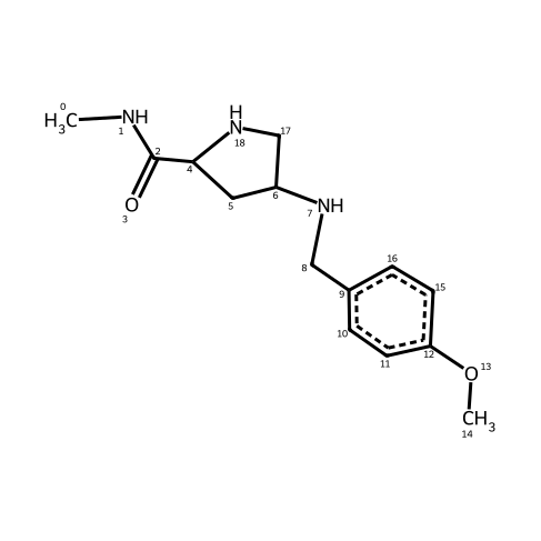 CNC(=O)C1CC(NCc2ccc(OC)cc2)CN1